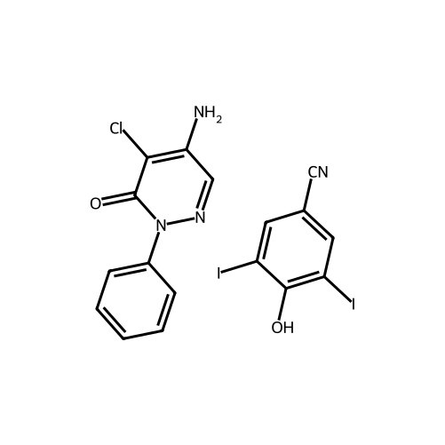 N#Cc1cc(I)c(O)c(I)c1.Nc1cnn(-c2ccccc2)c(=O)c1Cl